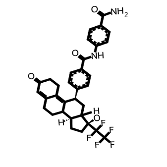 CC12C[C@H](c3ccc(C(=O)Nc4ccc(C(N)=O)cc4)cc3)C3=C4CCC(=O)C=C4CCC3[C@@H]1CC[C@@]2(O)C(F)(F)C(F)(F)F